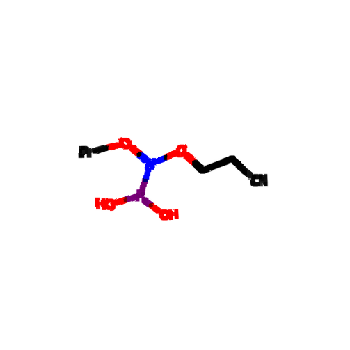 CC(C)ON(OCCC#N)P(O)O